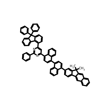 CC1(C)c2cc(-c3ccc(-c4ccc(-c5cc(-c6cccc7c6-c6ccccc6C7(c6ccccc6)c6ccccc6)nc(-c6ccccc6)n5)c5ccccc45)c4ccccc34)ccc2-c2cc3ccccc3cc21